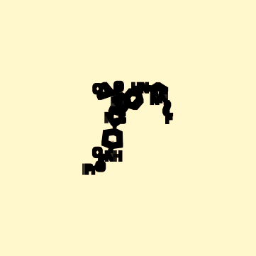 CC(C)OC(=O)N[C@H]1CC[C@H](c2ncc(-c3ccc(Nc4ccn(CCF)n4)cc3S(=N)(=O)C3COC3)s2)CC1